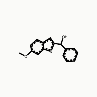 COc1ccc2cc(C(O)c3ccccc3)sc2c1